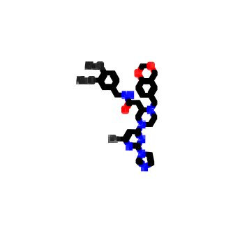 COc1ccc(CNC(=O)CC2CN(c3cc(C(C)C)nc(-n4ccnc4)n3)CCN2Cc2ccc3c(c2)COCO3)cc1OC